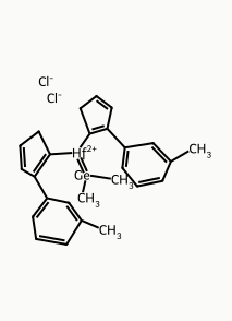 Cc1cccc(C2=[C]([Hf+2]([C]3=C(c4cccc(C)c4)C=CC3)=[Ge]([CH3])[CH3])CC=C2)c1.[Cl-].[Cl-]